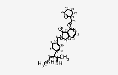 B=C(C)/C(=C\NC)c1ccc(CN2Cc3ccnc(OCC4CCCCO4)c3C2=O)cc1